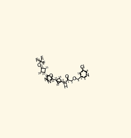 O=C(COCc1cncc(Cl)c1)NC12CC(c3nnc([C@H]4C[C@@H](OC(F)(F)F)C4)o3)(C1)C2